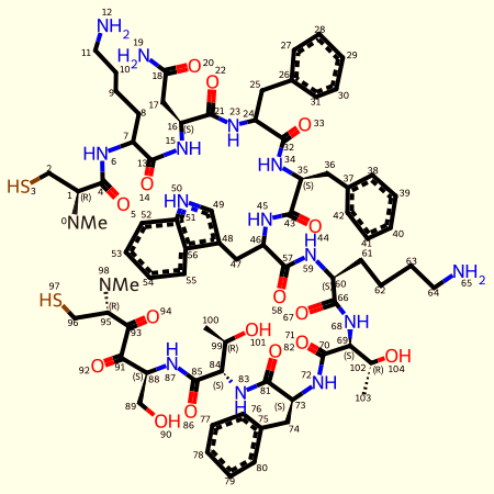 CN[C@@H](CS)C(=O)NC(CCCCN)C(=O)N[C@@H](CC(N)=O)C(=O)NC(Cc1ccccc1)C(=O)N[C@@H](Cc1ccccc1)C(=O)NC(Cc1c[nH]c2ccccc12)C(=O)N[C@@H](CCCCN)C(=O)N[C@H](C(=O)N[C@@H](Cc1ccccc1)C(=O)N[C@H](C(=O)N[C@@H](CO)C(=O)C(=O)[C@H](CS)NC)[C@@H](C)O)[C@@H](C)O